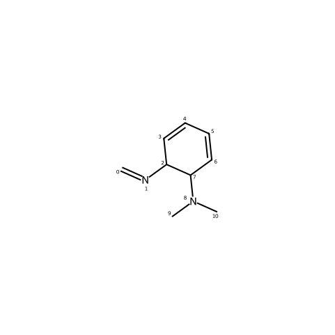 C=NC1C=CC=CC1N(C)C